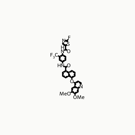 COc1cc2nccc(Oc3cccc4c(C(=O)Nc5ccc(NC(=O)c6cnc(F)s6)c(C(F)(F)F)c5)cccc34)c2cc1OC